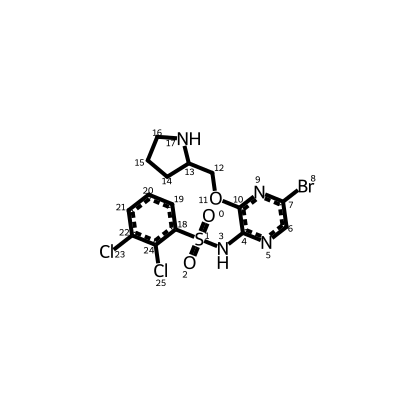 O=S(=O)(Nc1ncc(Br)nc1OCC1CCCN1)c1cccc(Cl)c1Cl